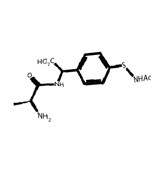 CC(=O)NSc1ccc(C(NC(=O)[C@H](C)N)C(=O)O)cc1